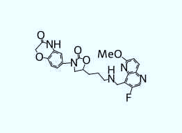 COc1ccc2ncc(F)c(CNCCCC3CN(c4ccc5c(c4)NC(=O)CO5)C(=O)O3)c2n1